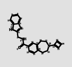 O=C(NCc1nc2ccccc2[nH]1)c1ccc2c(c1)CCN(C1=CC=C1)CC2